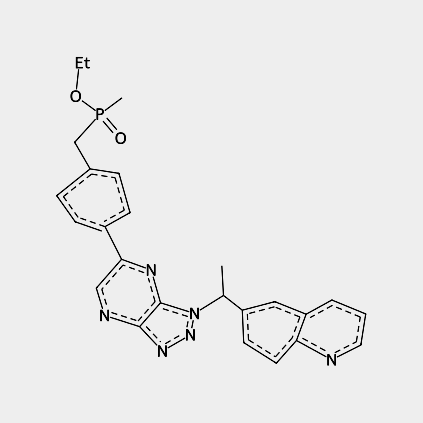 CCOP(C)(=O)Cc1ccc(-c2cnc3nnn(C(C)c4ccc5ncccc5c4)c3n2)cc1